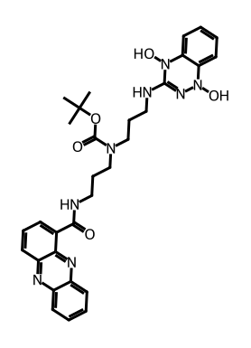 CC(C)(C)OC(=O)N(CCCNC(=O)c1cccc2nc3ccccc3nc12)CCCNC1=NN(O)c2ccccc2N1O